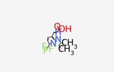 CCC(C)Nc1nc(C(F)(F)F)ccc1C=CC(=O)O